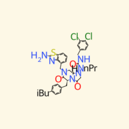 CCCN(C(=O)NCc1ccc(Cl)c(Cl)c1)N1CC(=O)N2[C@@H](Cc3ccc(C(C)CC)cc3)C(=O)N(Cc3cccc4sc(N)nc34)C[C@@H]21